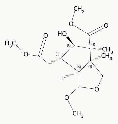 COC(=O)C[C@@H]1[C@@H](O)[C@@](C)(C(=O)OC)[C@@]2(C)COC(OC)[C@@H]12